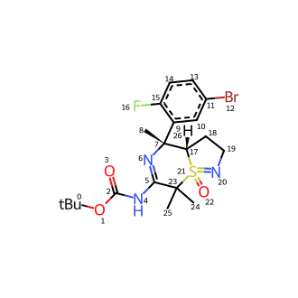 CC(C)(C)OC(=O)NC1=N[C@](C)(c2cc(Br)ccc2F)[C@@H]2CCN=S2(=O)C1(C)C